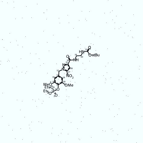 CCOP(=O)(OCC)Oc1c(OC)cc(Cn2nc(C(=O)NCCNC(=O)OC(C)(C)C)cc2[N+](=O)[O-])cc1OC